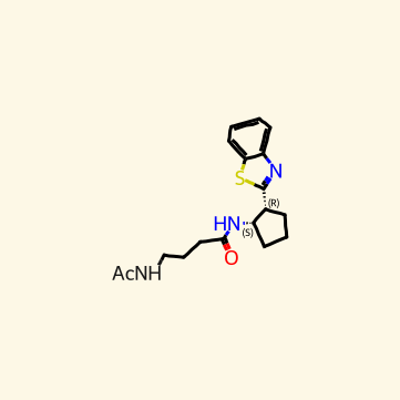 CC(=O)NCCCC(=O)N[C@H]1CCC[C@H]1c1nc2ccccc2s1